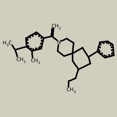 C=C(c1ccc(C(C)C)c(C)c1)N1CCC2(CC1)CC(CCC)CC(c1ccccc1)C2